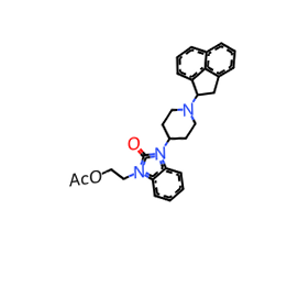 CC(=O)OCCn1c(=O)n(C2CCN(C3Cc4cccc5cccc3c45)CC2)c2ccccc21